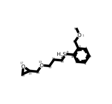 COCc1ccccc1[SiH2]CCCOCC1CO1